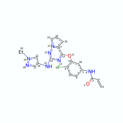 C=CC(=O)Nc1ccc(F)c(Oc2nc(Nc3cnn(CC)c3)nn3cccc23)c1